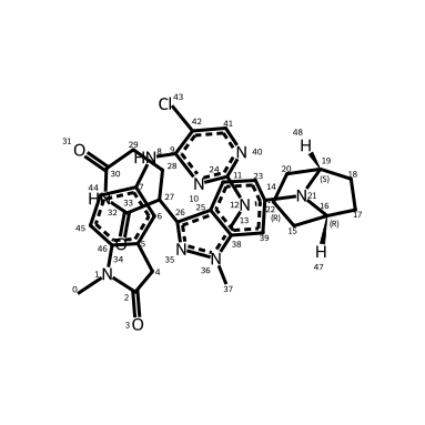 CN1C(=O)Cc2cc(Nc3nc(N(C)[C@H]4C[C@H]5CC[C@@H](C4)N5c4ccc5c(C6CCC(=O)NC6=O)nn(C)c5c4)ncc3Cl)ccc21